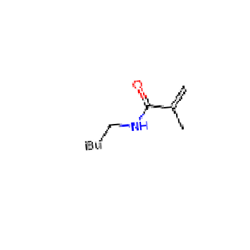 C=C(C)C(=O)NCC(C)CC